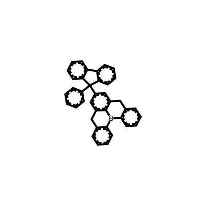 c1ccc(C2(c3cc4c5c(c3)Cc3ccccc3B5c3ccccc3C4)c3ccccc3-c3ccccc32)cc1